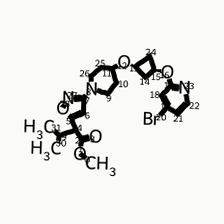 COC(=O)C(c1cc(N2CCC(O[C@H]3C[C@H](Oc4cc(Br)ccn4)C3)CC2)no1)C(C)C